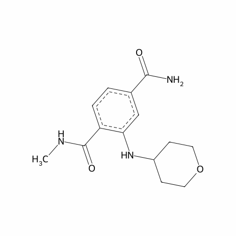 CNC(=O)c1ccc(C(N)=O)cc1NC1CCOCC1